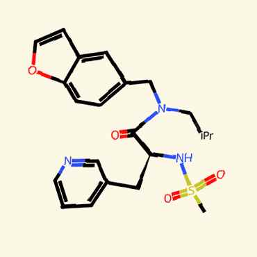 CC(C)CN(Cc1ccc2occc2c1)C(=O)[C@H](Cc1cccnc1)NS(C)(=O)=O